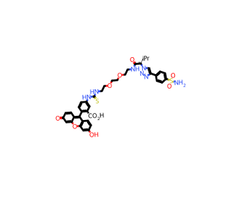 CC(C)[C@@H](C(=O)NCCOCCOCCNC(=S)Nc1ccc(-c2c3ccc(=O)cc-3oc3cc(O)ccc23)c(C(=O)O)c1)n1cc(-c2ccc(S(N)(=O)=O)cc2)nn1